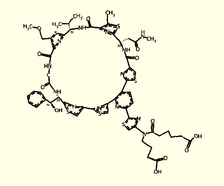 CNC(=O)C[C@@H]1NC(=O)c2csc(n2)-c2ccc(-c3nc(N(CCCC(=O)O)C(=O)CCCCC(=O)O)cs3)nc2-c2csc(n2)-c2csc(n2)[C@H]([C@@H](O)c2ccccc2)NC(=O)CNC(=O)c2nc(sc2COC)[C@H](C(C)C)NC(=O)c2nc1sc2C